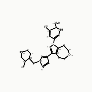 COC1NC=C(n2nc(-c3cnn(CC4CCNCC4F)c3)c3c2CCOCC3)C=C1F